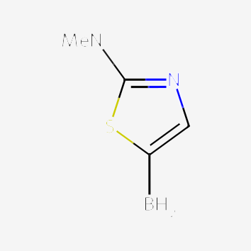 Bc1cnc(NC)s1